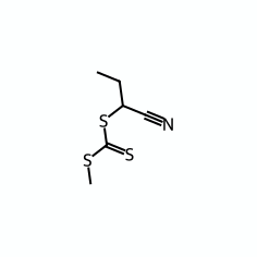 CCC(C#N)SC(=S)SC